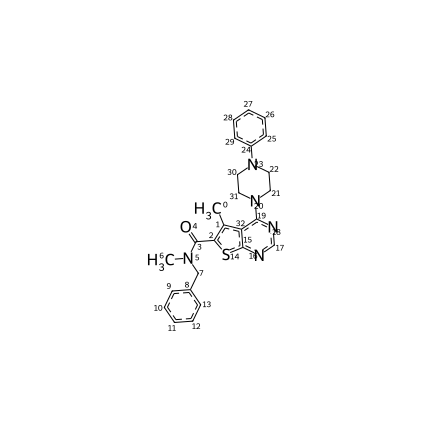 Cc1c(C(=O)N(C)Cc2ccccc2)sc2ncnc(N3CCN(c4ccccc4)CC3)c12